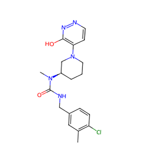 Cc1cc(CNC(=O)N(C)[C@@H]2CCCN(c3ccnnc3O)C2)ccc1Cl